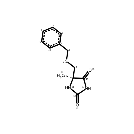 C[C@@]1(CSCc2ccccc2)NC(=O)NC1=O